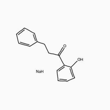 O=C(CCc1ccccc1)c1ccccc1O.[NaH]